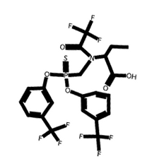 CCC(C(=O)O)N(CP(=S)(Oc1cccc(C(F)(F)F)c1)Oc1cccc(C(F)(F)F)c1)C(=O)C(F)(F)F